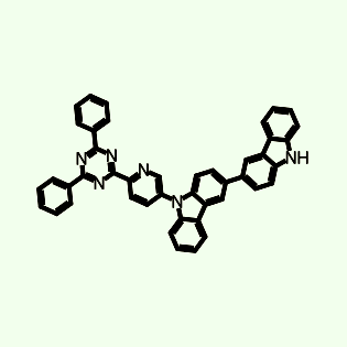 c1ccc(-c2nc(-c3ccccc3)nc(-c3ccc(-n4c5ccccc5c5cc(-c6ccc7[nH]c8ccccc8c7c6)ccc54)cn3)n2)cc1